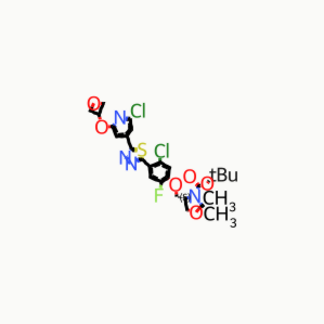 CC(C)(C)OC(=O)N1[C@@H](COc2cc(Cl)c(-c3nnc(-c4cc(Cl)nc(OC5COC5)c4)s3)cc2F)COC1(C)C